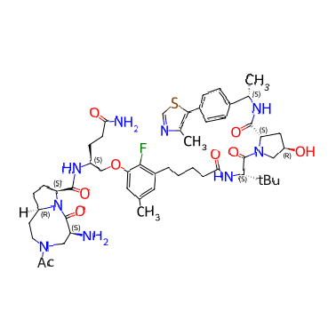 CC(=O)N1CC[C@H]2CC[C@@H](C(=O)N[C@@H](CCC(N)=O)COc3cc(C)cc(CCCCC(=O)N[C@H](C(=O)N4C[C@H](O)C[C@H]4C(=O)N[C@@H](C)c4ccc(-c5scnc5C)cc4)C(C)(C)C)c3F)N2C(=O)[C@@H](N)C1